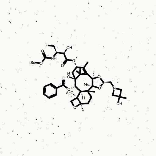 CC(=O)O[C@@]12CO[C@@H]1CC[C@@]1(C)[C@@H]3O[C@H](CN4CC(C)(O)C4)O[C@@H]3C3=C(C)[C@@H](OC(=O)[C@H](O)[C@H](CF)NC(=O)OC(C)(C)C)C[C@@](O)([C@@H](OC(=O)c4ccccc4)[C@@H]12)C3(C)C